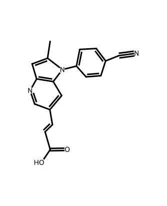 Cc1cc2ncc(C=CC(=O)O)cc2n1-c1ccc(C#N)cc1